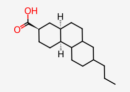 CCCC1CCC2C(CC[C@@H]3C[C@H](C(=O)O)CC[C@H]23)C1